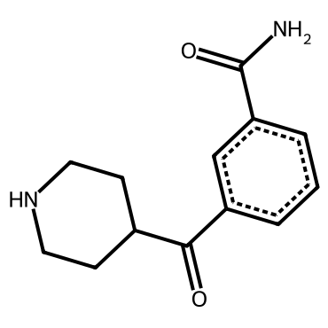 NC(=O)c1cccc(C(=O)C2CCNCC2)c1